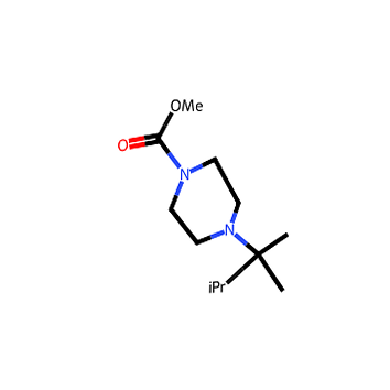 COC(=O)N1CCN(C(C)(C)C(C)C)CC1